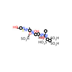 Cc1cc(N=Nc2ccc3c(S(=O)(=O)O)c(N=Nc4c(-c5ccccc5)nn(-c5cc(S(=O)(=O)O)c6cc(S(=O)(=O)O)cc(S(=O)(=O)O)c6c5)c4O)ccc3c2O)c(OCCCS(=O)(=O)O)cc1N=Nc1nc2ccc(CO)cc2s1